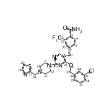 NC(=O)c1ccc(Sc2cnc(N3CCN(Cc4nccs4)CC3)nc2OCc2cccc(Cl)c2)cc1C(F)(F)F